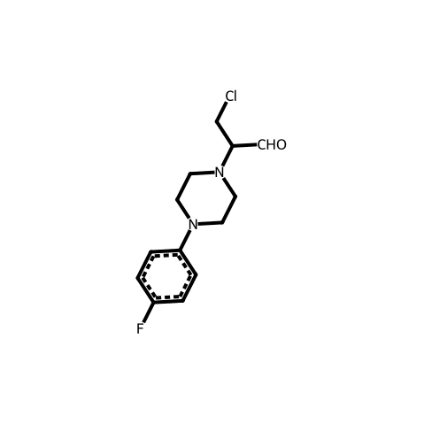 O=CC(CCl)N1CCN(c2ccc(F)cc2)CC1